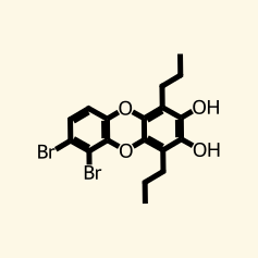 CCCc1c(O)c(O)c(CCC)c2c1Oc1ccc(Br)c(Br)c1O2